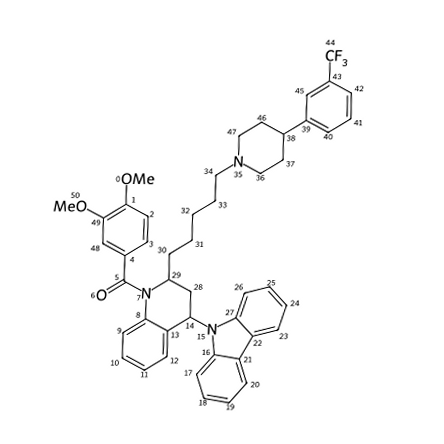 COc1ccc(C(=O)N2c3ccccc3C(n3c4ccccc4c4ccccc43)CC2CCCCCN2CCC(c3cccc(C(F)(F)F)c3)CC2)cc1OC